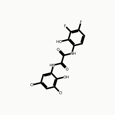 O=C(Nc1cc(Cl)cc(Cl)c1O)C(=O)Nc1ccc(F)c(F)c1O